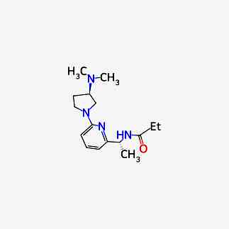 CCC(=O)N[C@H](C)c1cccc(N2CC[C@@H](N(C)C)C2)n1